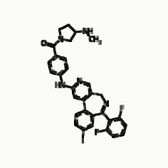 CNC1CCN(C(=O)c2ccc(Nc3cc4c(cn3)CN=C(c3c(F)cccc3F)c3cc(I)ccc3-4)cc2)C1